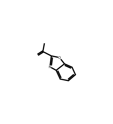 C=C(C)c1nc2ccccc2o1